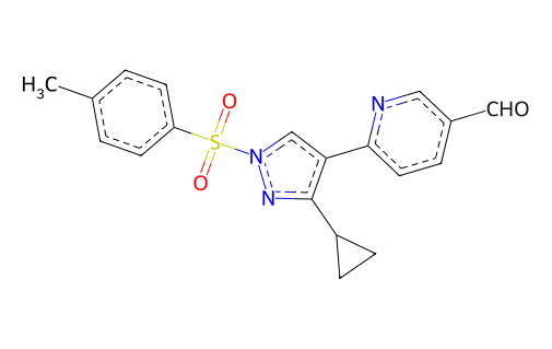 Cc1ccc(S(=O)(=O)n2cc(-c3ccc(C=O)cn3)c(C3CC3)n2)cc1